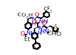 CCC(=O)Nc1ccc(C[C@H](NC(=O)C(NC(=O)[C@H](Cc2ccc(-c3ccccc3)cc2)NC(=O)[C@@H](Cc2cccs2)NC=O)c2cccc(C(F)(F)F)c2)C(=O)O)cc1